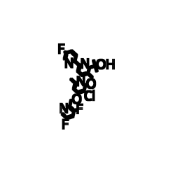 Cc1c(-n2c(C)cc(OCc3ncc(F)cc3F)c(Cl)c2=O)cc(-c2ccc(F)cn2)nc1C(C)(C)O